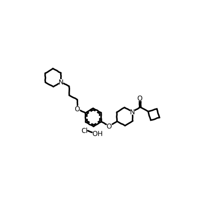 O=C(C1CCC1)N1CCC(Oc2ccc(OCCCN3CCCCC3)cc2)CC1.OCl